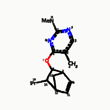 CNc1ncc(C)c(OC2C3C=CC(C3)C2C(C)C)n1